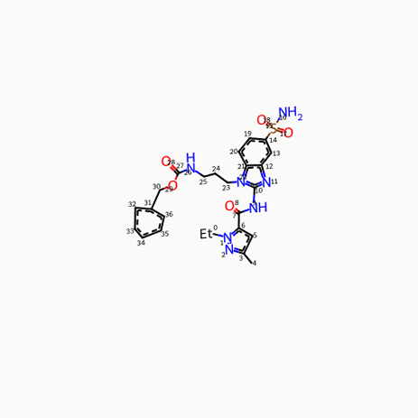 CCn1nc(C)cc1C(=O)Nc1nc2cc(S(N)(=O)=O)ccc2n1CCCNC(=O)OCc1ccccc1